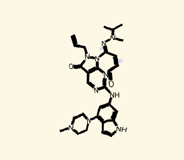 C=CCn1c(=O)c2cnc(Nc3cc(N4CCN(C)CC4)c4cc[nH]c4c3)nc2n1C(/C=C\C=O)=N/N(C)C(C)C